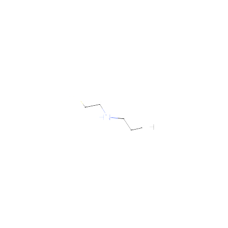 CCCNCCS